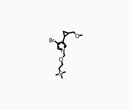 COCC1CC1c1cn(COCC[Si](C)(C)C)cc1Br